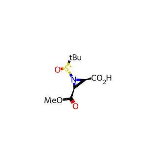 COC(=O)[C@@H]1[C@H](C(=O)O)N1[S+]([O-])C(C)(C)C